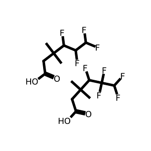 CC(C)(CC(=O)O)C(F)C(F)(F)C(F)F.CC(C)(CC(=O)O)C(F)C(F)C(F)F